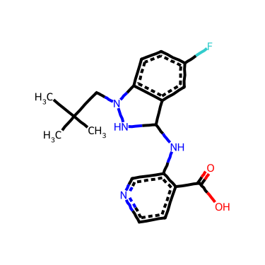 CC(C)(C)CN1NC(Nc2cnccc2C(=O)O)c2cc(F)ccc21